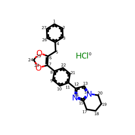 Cl.c1ccc(CC2=C(c3ccc(-c4cn5c(n4)CCCC5)cc3)OCO2)cc1